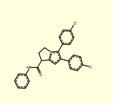 O=C(Nc1ccccc1)C1CCn2c1cc(-c1ccc(Cl)cc1)c2-c1ccc(Cl)cc1